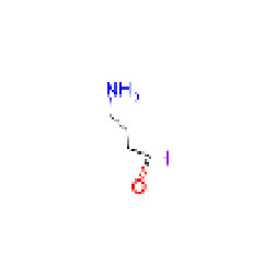 NCCCC(=O)I